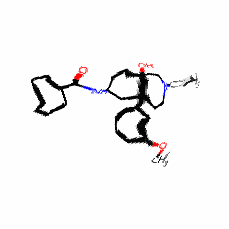 COc1cccc(C23CCN(C)CC2(O)CCC(NC(=O)c2ccccc2)C3)c1